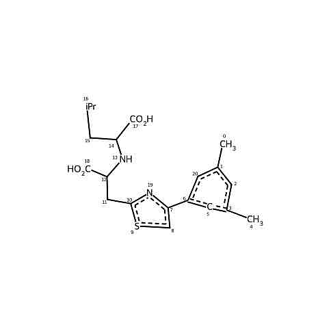 Cc1cc(C)cc(-c2csc(CC(NC(CC(C)C)C(=O)O)C(=O)O)n2)c1